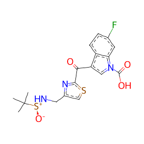 CC(C)(C)[S@+]([O-])NCc1csc(C(=O)c2cn(C(=O)O)c3cc(F)ccc23)n1